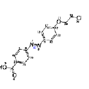 O=C(O)c1ccc(/N=N/c2ccc(OCCCl)cc2)cc1